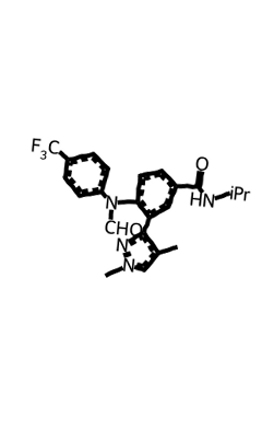 Cc1cn(C)nc1-c1cc(C(=O)NC(C)C)ccc1N(C=O)c1ccc(C(F)(F)F)cc1